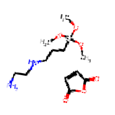 CO[Si](CCCNCCN)(OC)OC.O=C1C=CC(=O)O1